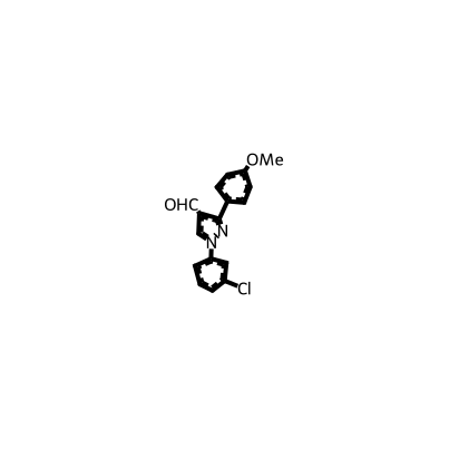 COc1ccc(-c2nn(-c3cccc(Cl)c3)cc2C=O)cc1